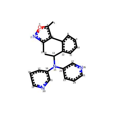 Cc1noc(C)c1-c1ccccc1C(C)N(c1cccnc1)c1cccnc1